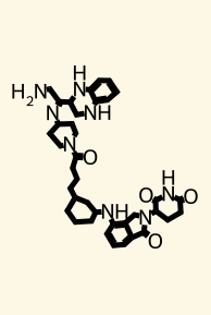 NC/C(=N/C1CCN(C(=O)CCCC2CCCC(Nc3cccc4c3CN(C3CCC(=O)NC3=O)C4=O)C2)CC1)C1CNc2ccccc2N1